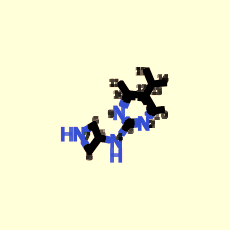 Cc1nc(NC2CNC2)nc(C)c1C(C)C